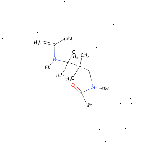 C=C(CCCC)N(CC)C(C)(C)C(C)(C)CN(C(=O)C(C)C)C(C)(C)C